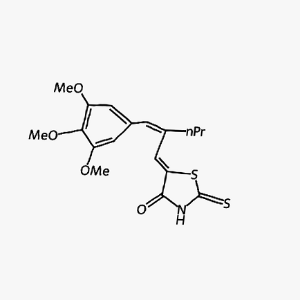 CCCC(=Cc1cc(OC)c(OC)c(OC)c1)C=C1SC(=S)NC1=O